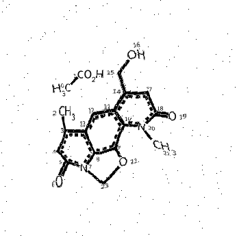 CC(=O)O.Cc1cc(=O)n2c3c(c4c(cc13)c(CO)cc(=O)n4C)OC2